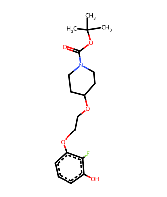 CC(C)(C)OC(=O)N1CCC(OCCOc2cccc(O)c2F)CC1